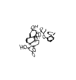 CCC(Oc1ccccc1Cl)C(=O)O[C@H]1C[C@H](O)C=C2C=C[C@H](C)[C@H](CC[C@@H]3C[C@@H](O)CC(=O)O3)[C@H]21